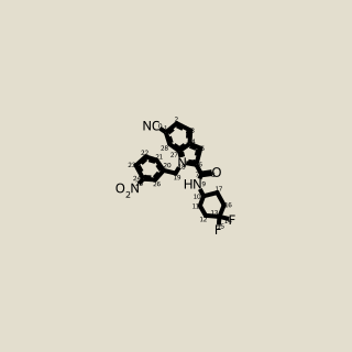 N#Cc1ccc2cc(C(=O)NC3CCC(F)(F)CC3)n(Cc3cccc([N+](=O)[O-])c3)c2c1